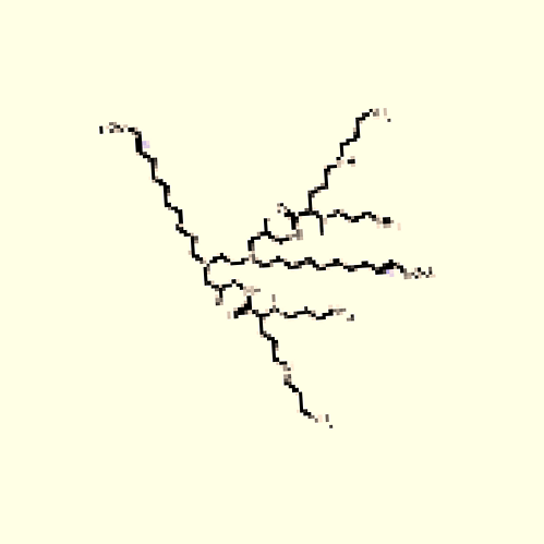 CCCCCCCC/C=C/CCCCCCCCN(CCN(CCCCCCCC/C=C/CCCCCCCC)CC(C)CNC(=O)C(CCCNCCCN)NCCCN)CC(C)CNC(=O)C(CCCNCCCN)NCCCN